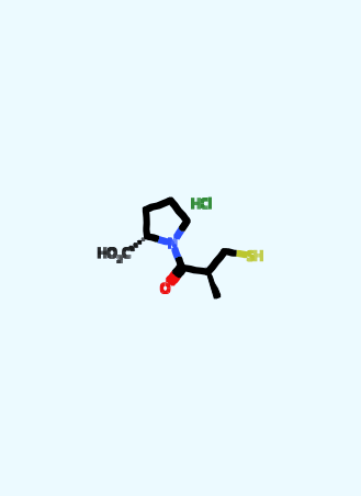 C[C@H](CS)C(=O)N1CCC[C@H]1C(=O)O.Cl